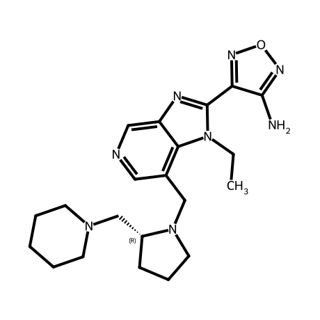 CCn1c(-c2nonc2N)nc2cncc(CN3CCC[C@@H]3CN3CCCCC3)c21